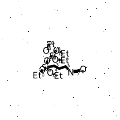 CCO[Si](CCCN=C=O)(OCC)O[Si](OCC)(OCC)OCC